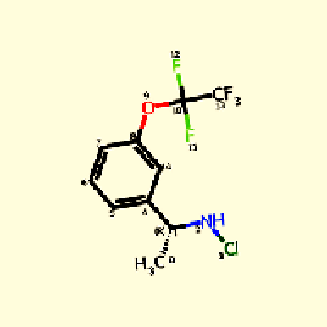 C[C@@H](NCl)c1cccc(OC(F)(F)C(F)(F)F)c1